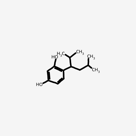 CC(C)CC(c1ccc(O)cc1O)C(C)C